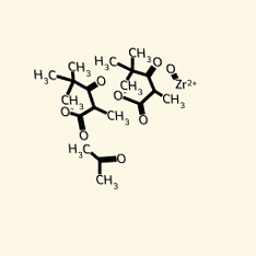 CC(C(=O)[O-])C(=O)C(C)(C)C.CC(C(=O)[O-])C(=O)C(C)(C)C.CC(C)=O.[O]=[Zr+2]